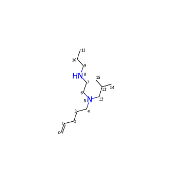 C=CCCCN(CCNCCC)CC(C)C